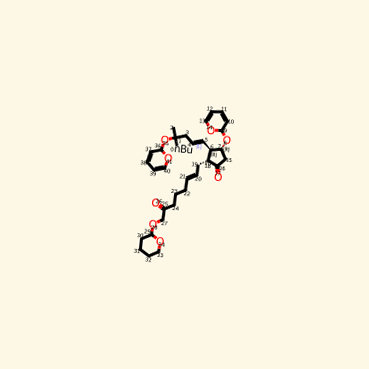 CCCCC(C)(C/C=C/[C@H]1[C@H](OC2C=CC=CO2)CC(=O)[C@@H]1CC=CCCCC(=O)COC1CCCCO1)OC1C=CC=CO1